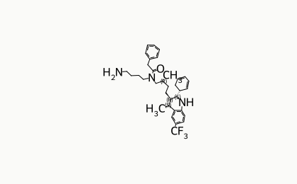 C[C@H](CC[C@@H]1[C@H](C)c2cc(C(F)(F)F)ccc2N[C@H]1C1C=CC=CC1)CN(CCCCN)C(=O)Cc1ccccc1